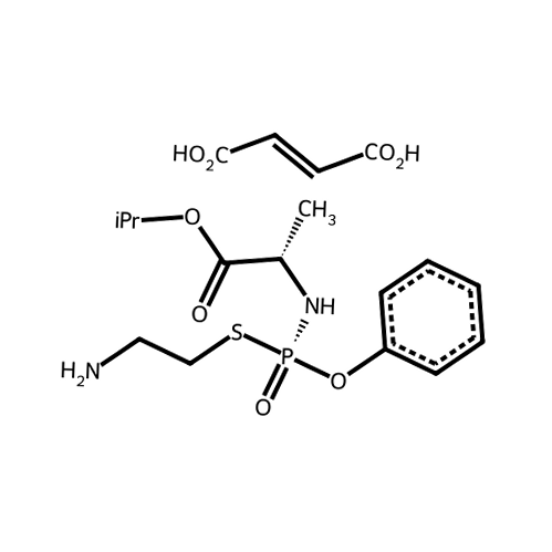 CC(C)OC(=O)[C@H](C)N[P@@](=O)(Oc1ccccc1)SCCN.O=C(O)/C=C/C(=O)O